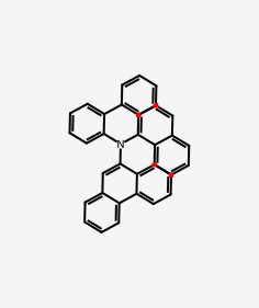 c1ccc(-c2ccccc2N(c2cccc3ccccc23)c2cc3ccccc3c3ccccc23)cc1